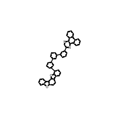 c1cc(-c2cccc(-c3cnc4c5ccccc5c5ccccc5c4n3)c2)cc(-c2cccc(-c3cccc4c3oc3c4ccc4oc5ccccc5c43)c2)c1